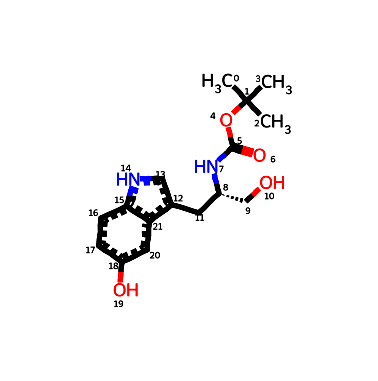 CC(C)(C)OC(=O)N[C@H](CO)Cc1c[nH]c2ccc(O)cc12